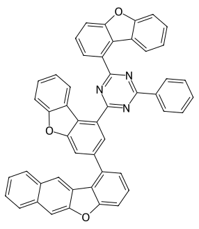 c1ccc(-c2nc(-c3cccc4oc5ccccc5c34)nc(-c3cc(-c4cccc5oc6cc7ccccc7cc6c45)cc4oc5ccccc5c34)n2)cc1